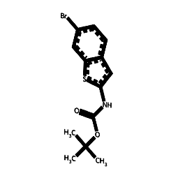 CC(C)(C)OC(=O)Nc1cc2ccc(Br)cc2s1